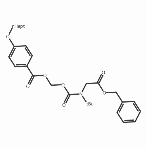 CCCCCCCOc1ccc(C(=O)OCOC(=O)N(CC(=O)OCc2ccccc2)C(C)(C)C)cc1